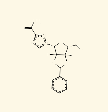 NC(=O)c1ncn([C@H]2O[C@@H](CO)[C@@H]3OC(c4ccccc4)O[C@@H]32)n1